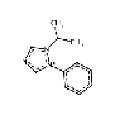 CC(C)n1cnc[n+]1-c1ccccc1